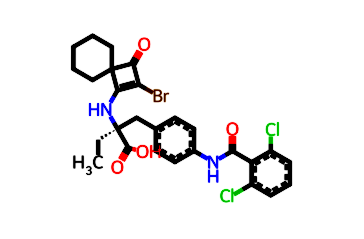 CC[C@@](Cc1ccc(NC(=O)c2c(Cl)cccc2Cl)cc1)(NC1=C(Br)C(=O)C12CCCCC2)C(=O)O